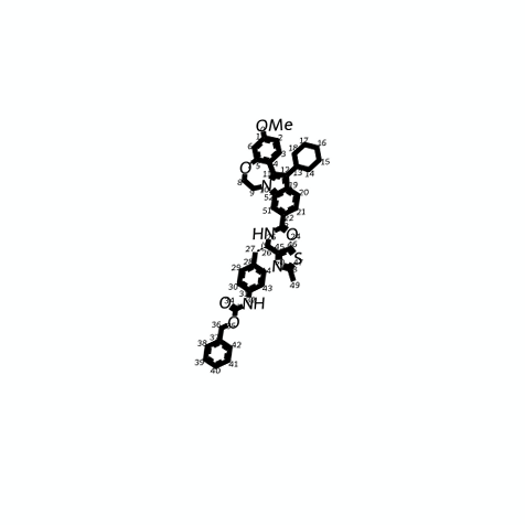 COc1ccc2c(c1)OCCn1c-2c(C2CCCCC2)c2ccc(C(=O)N[C@@H](Cc3ccc(NC(=O)OCc4ccccc4)cc3)c3csc(C)n3)cc21